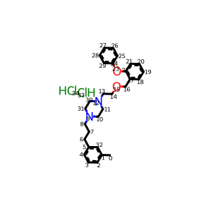 Cc1cccc(CCCN2CCN(CCOCc3ccccc3Oc3ccccc3)CC2)c1.Cl.Cl